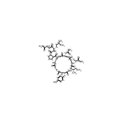 CC[C@H](C)[C@@H]1NC(=O)[C@H](Cc2ccc(O)cc2)NC(=O)CCC(=O)NC[C@@H](C(=O)N2CCC[C@H]2C(=O)N[C@@H](CCC(C)C)C(=O)NCC(N)=O)NC(=O)[C@H](CC(N)=O)NC(=O)[C@H](CCC(N)=O)NC1=O